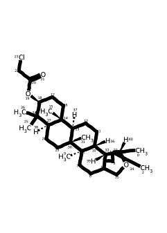 CC1(C)CC[C@]23CC[C@]4(C)[C@H](CC[C@@H]5[C@@]6(C)CC[C@H](OC(=O)CCl)C(C)(C)[C@@H]6CC[C@]54C)[C@@H]2[C@H]1OC3